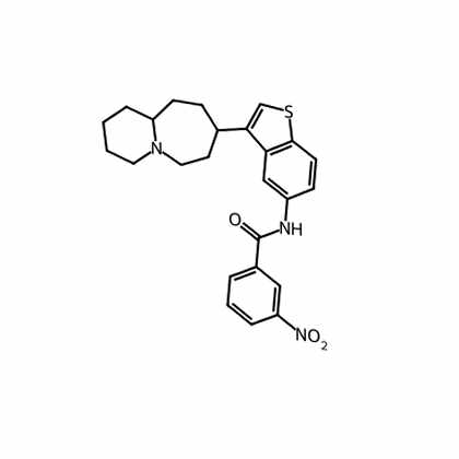 O=C(Nc1ccc2scc(C3CCC4CCCCN4CC3)c2c1)c1cccc([N+](=O)[O-])c1